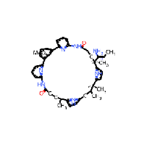 C/C=C(\N)[C@]1(C)CCC(=O)Nc2cccc(n2)-c2cccc(c2OC)-c2cccc(n2)NC(=O)CCC(C)c2ccc([nH]2)CC(C)[C@H](C)c2ccc1[nH]2